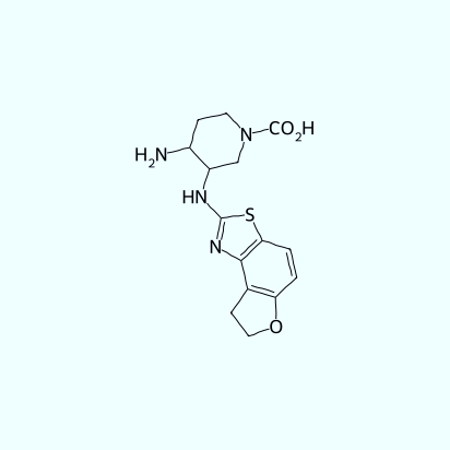 NC1CCN(C(=O)O)CC1Nc1nc2c3c(ccc2s1)OCC3